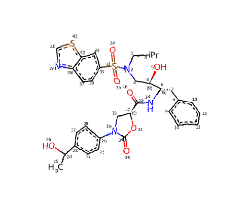 CC(C)CN(C[C@@H](O)[C@H](Cc1ccccc1)NC(=O)[C@@H]1CN(c2ccc(C(C)O)cc2)C(=O)O1)S(=O)(=O)c1ccc2ncsc2c1